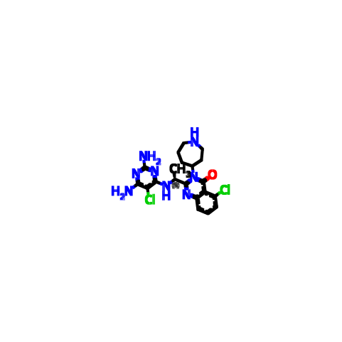 C[C@H](Nc1nc(N)nc(N)c1Cl)c1nc2cccc(Cl)c2c(=O)n1C1CCCNCC1